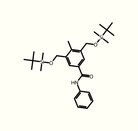 Cc1c(CO[Si](C)(C)C(C)(C)C)cc(C(=O)Nc2ccccc2)cc1CO[Si](C)(C)C(C)(C)C